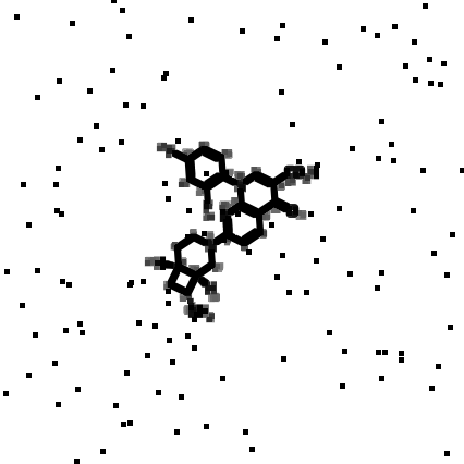 N[C@@H]1C[C@@H]2CCN(c3ccc4c(=O)c(C(=O)O)cn(-c5ccc(F)cc5F)c4n3)C[C@@H]21